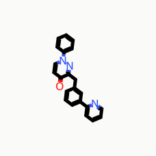 O=c1ccn(-c2ccccc2)nc1Cc1cccc(-c2ccccn2)c1